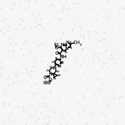 CCOc1nc2nc(C)cn2cc1C(=O)Nc1ccc(N2CCN(C(=O)OC(C)(C)C)C3(CC3)C2)nn1